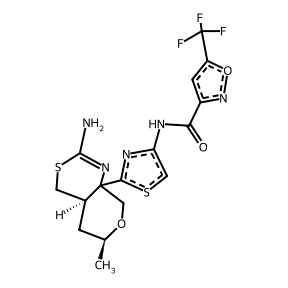 C[C@H]1C[C@H]2CSC(N)=NC2(c2nc(NC(=O)c3cc(C(F)(F)F)on3)cs2)CO1